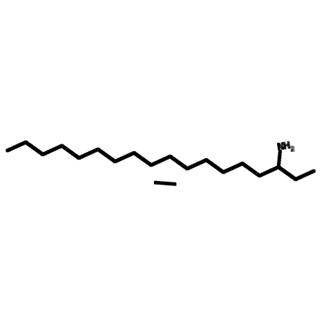 CC.CCCCCCCCCCCCCCCC(N)CC